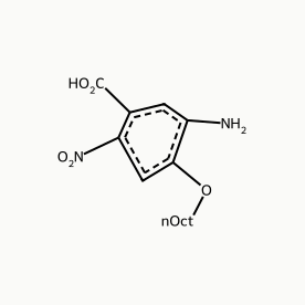 CCCCCCCCOc1cc([N+](=O)[O-])c(C(=O)O)cc1N